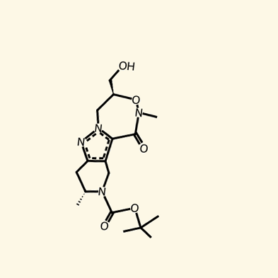 C[C@@H]1Cc2nn3c(c2CN1C(=O)OC(C)(C)C)C(=O)N(C)O[C@H](CO)C3